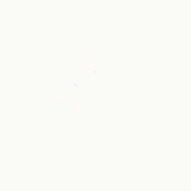 CCOC(=O)N(C)OC(=O)C(C)CC